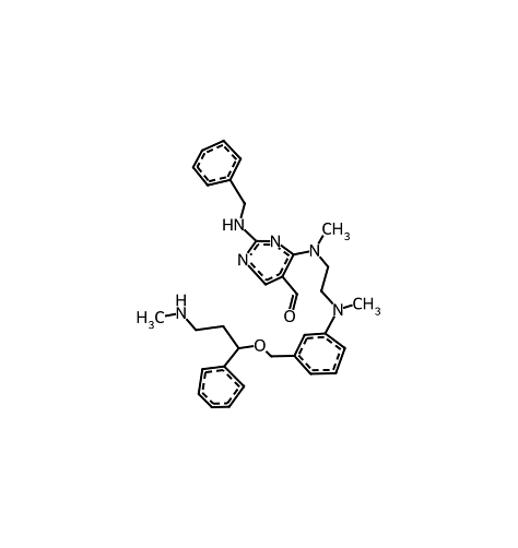 CNCCC(OCc1cccc(N(C)CCN(C)c2nc(NCc3ccccc3)ncc2C=O)c1)c1ccccc1